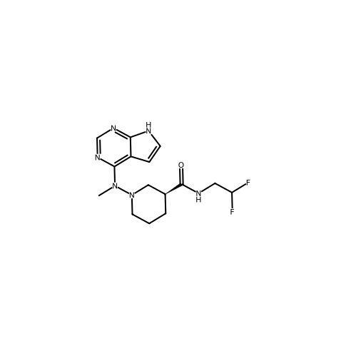 CN(c1ncnc2[nH]ccc12)N1CCC[C@H](C(=O)NCC(F)F)C1